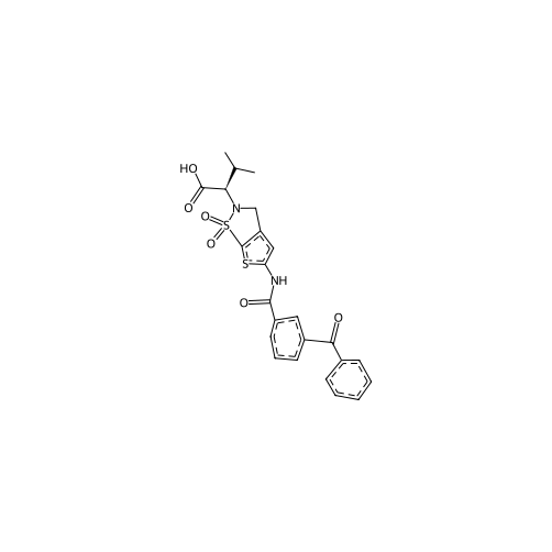 CC(C)[C@H](C(=O)O)N1Cc2cc(NC(=O)c3cccc(C(=O)c4ccccc4)c3)sc2S1(=O)=O